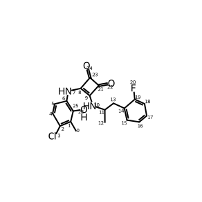 Cc1c(Cl)ccc(Nc2c(NC(C)Cc3ccccc3F)c(=O)c2=O)c1O